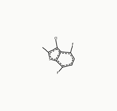 Cc1sc2c(F)ccc(F)c2c1Cl